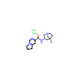 Cl.Cl.O=C(N[C@@H]1C[C@H]2CCN(C2)C1)c1cc2cccn2cn1